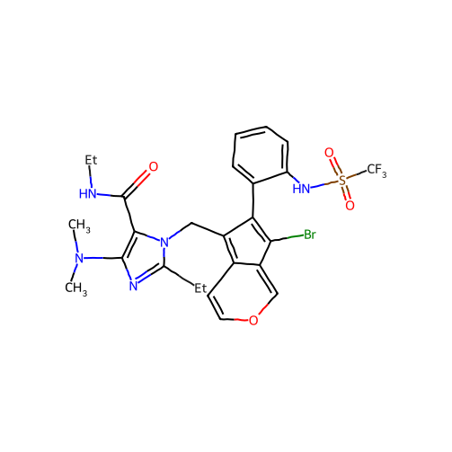 CCNC(=O)c1c(N(C)C)nc(CC)n1Cc1c2ccocc-2c(Br)c1-c1ccccc1NS(=O)(=O)C(F)(F)F